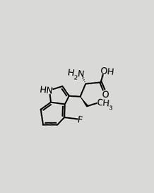 CC[C@@H](c1c[nH]c2cccc(F)c12)[C@H](N)C(=O)O